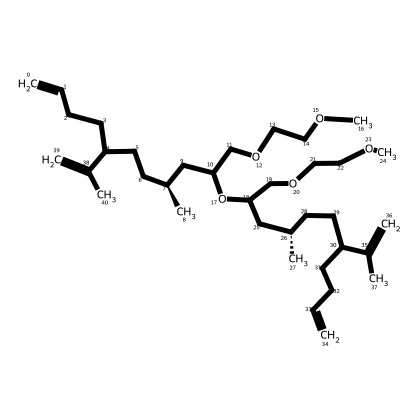 C=CCCC(CC[C@H](C)CC(COCCOC)OC(COCCOC)C[C@@H](C)CCC(CCC=C)C(=C)C)C(=C)C